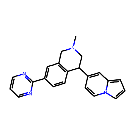 CN1Cc2cc(-c3ncccn3)ccc2C(c2ccn3cccc3c2)C1